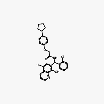 O=C(COc1ccc(C2CCCC2)cc1)NC(c1ccccc1Cl)c1cc(Cl)c2cccnc2c1O